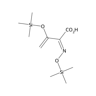 C=C(O[Si](C)(C)C)C(=NO[Si](C)(C)C)C(=O)O